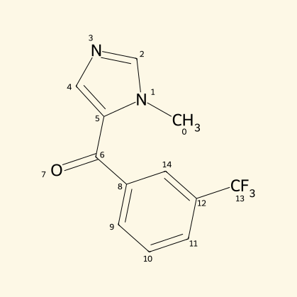 Cn1cncc1C(=O)c1cccc(C(F)(F)F)c1